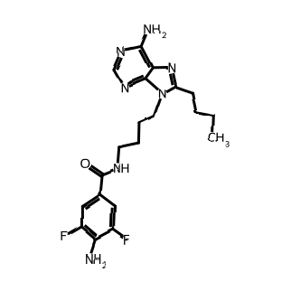 CCCCc1nc2c(N)ncnc2n1CCCCNC(=O)c1cc(F)c(N)c(F)c1